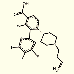 C=CCC[C@H]1CC[C@H](c2ccc(C(=O)O)c(F)c2-c2cc(F)c(F)c(F)c2)CC1